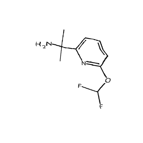 CC(C)(N)c1cccc(OC(F)F)n1